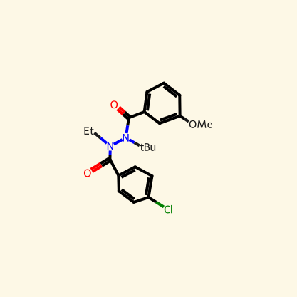 CCN(C(=O)c1ccc(Cl)cc1)N(C(=O)c1cccc(OC)c1)C(C)(C)C